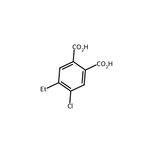 CCc1cc(C(=O)O)c(C(=O)O)cc1Cl